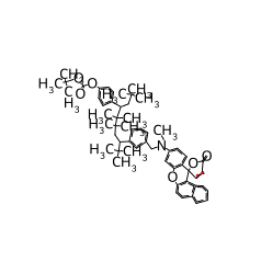 CCN(Cc1cccc(C(CC(C)(C)C(C)(C)C(CC(C)(C)C)c2ccc(OC(=O)OC(C)(C)C)cc2)C(C)(C)C)c1)c1ccc2c(c1)Oc1ccc3ccccc3c1C21OC(=O)C2C=CC=CC21